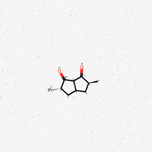 CC(C)[C@H]1CC2C[C@H](C)C(=O)C2C1=O